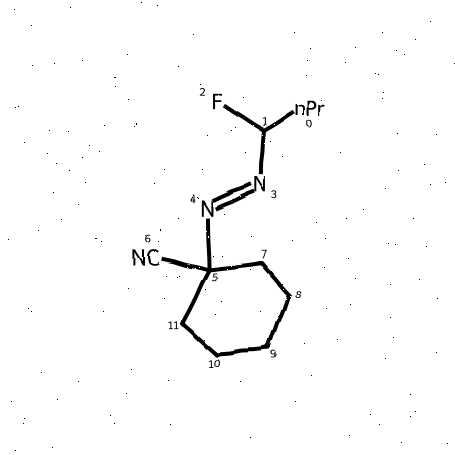 CCCC(F)N=NC1(C#N)CCCCC1